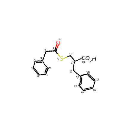 O=C(Cc1ccccc1)SCC(Cc1ccccc1)C(=O)O